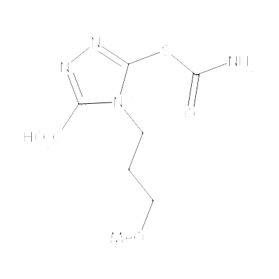 COCCCn1c(SC(N)=O)nnc1C(=O)O